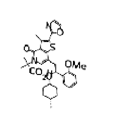 COc1ccccc1[C@H](Cc1cn(C(C)(C)C(=O)O)c(=O)c2c(C)c(-c3ncco3)sc12)O[C@H]1CC[C@@H](C)CC1